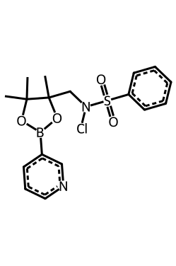 CC1(C)OB(c2cccnc2)OC1(C)CN(Cl)S(=O)(=O)c1ccccc1